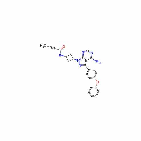 CC#CC(=O)N[C@H]1C[C@@H](n2nc(-c3ccc(Oc4ccccc4)cc3)c3c(N)ncnc32)C1